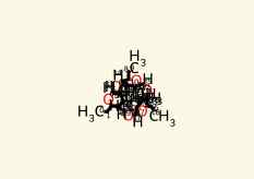 CCC1O[C@@H]2O[C@@H]3C(CC)O[C@@H](O[C@@H]4C(CC)O[C@H](O[C@H]1[C@H](C)C2C)C(C)[C@H]4C)C(C)[C@H]3C